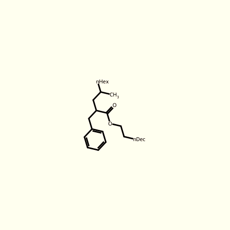 CCCCCCCCCCCCOC(=O)C(Cc1ccccc1)CC(C)CCCCCC